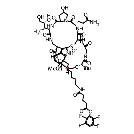 CC[C@H](C)[C@@H]1CCNC(=O)CNC(=O)[C@@H]2CNC(=O)[C@H]([C@@H](C)[C@@H](O)CO)NC(=O)C3C[C@@H](O)CN3C(=O)[C@H](CCC(N)=O)NC(=O)[C@@H](C[S+]([O-])c3[nH]c4c(CSCCCCNC(=O)CCCC(=O)Oc5c(F)c(F)cc(F)c5F)c(OC)ccc4c32)NC(=O)CNC1=O